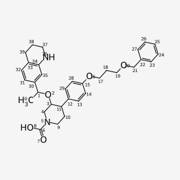 CC(OC1CN(C(=O)O)CCC1c1ccc(OCCCOCc2ccccc2)cc1)c1ccc2c(c1)NCCC2